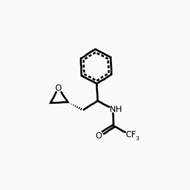 O=C(NC(C[C@@H]1CO1)c1ccccc1)C(F)(F)F